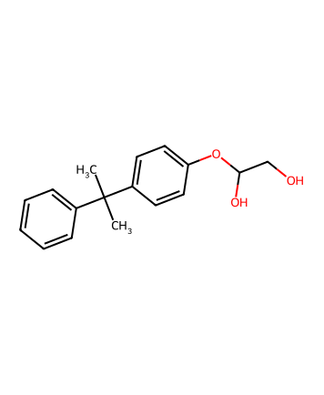 CC(C)(c1ccccc1)c1ccc(OC(O)CO)cc1